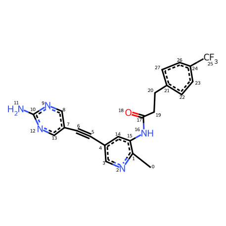 Cc1ncc(C#Cc2cnc(N)nc2)cc1NC(=O)CCc1ccc(C(F)(F)F)cc1